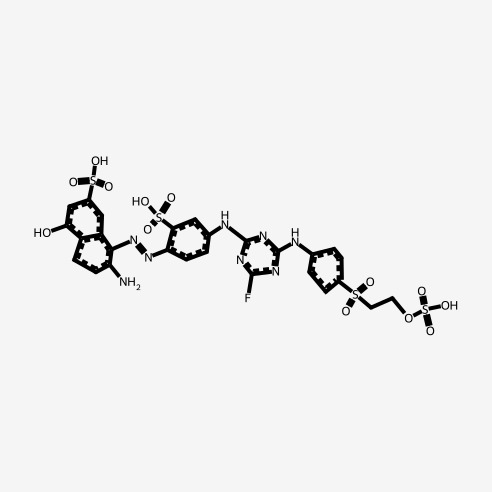 Nc1ccc2c(O)cc(S(=O)(=O)O)cc2c1N=Nc1ccc(Nc2nc(F)nc(Nc3ccc(S(=O)(=O)CCOS(=O)(=O)O)cc3)n2)cc1S(=O)(=O)O